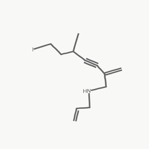 C=CCNCC(=C)C#CC(C)CCI